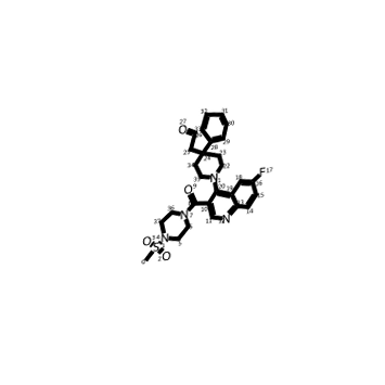 CS(=O)(=O)N1CCN(C(=O)c2cnc3ccc(F)cc3c2N2CCC(CC=O)(c3ccccc3)CC2)CC1